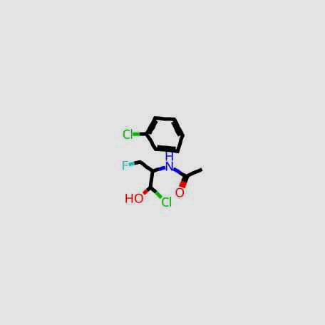 CC(=O)NC(CF)C(O)Cl.Clc1ccccc1